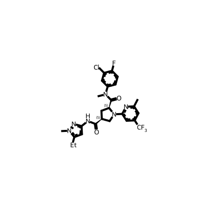 CCc1cc(NC(=O)[C@H]2C[C@@H](C(=O)N(C)c3ccc(F)c(Cl)c3)N(c3cc(C(F)(F)F)cc(C)n3)C2)nn1C